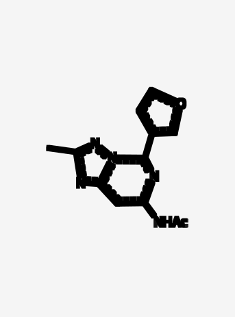 CC(=O)Nc1cc2nc(C)nn2c(-c2ccoc2)n1